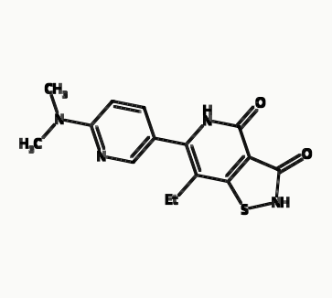 CCc1c(-c2ccc(N(C)C)nc2)[nH]c(=O)c2c(=O)[nH]sc12